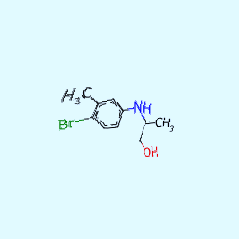 Cc1cc(NC(C)CO)ccc1Br